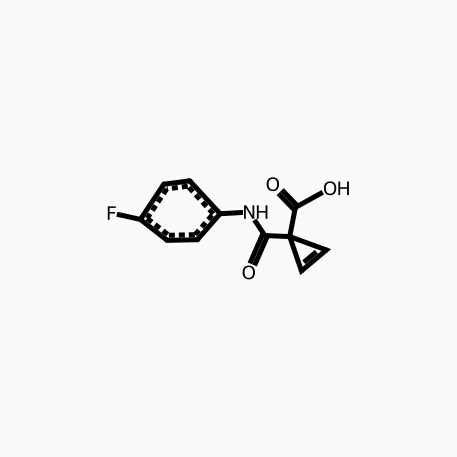 O=C(O)C1(C(=O)Nc2ccc(F)cc2)C=C1